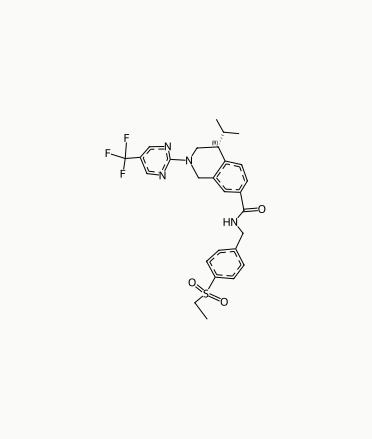 CCS(=O)(=O)c1ccc(CNC(=O)c2ccc3c(c2)CN(c2ncc(C(F)(F)F)cn2)C[C@@H]3C(C)C)cc1